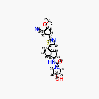 CC(C)Oc1ccc(-c2ncc(-c3cccc4c3CCC4NC(=O)N3CCC(O)CC3)s2)cc1C#N